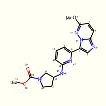 COc1ccc2ncc(-c3cccc(NC4CCN(C(=O)OC(C)(C)C)C4)n3)n2n1